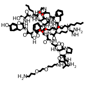 CCCCCCCCCCCCCCCC(=O)N[C@@H](CO)C(=O)N[C@@H](Cc1ccc(O)cc1)C(=O)N[C@@H](CO)C(=O)N[C@@H](CCCC)C(=O)N[C@@H](CCC(=O)O)C(=O)N[C@@H](Cc1c[nH]cn1)C(=O)N[C@H](Cc1ccccc1)C(=O)N[C@@H](CCCNC(=N)N)C(=O)N[C@@H](Cc1c[nH]c2ccccc12)C(=O)NCC(=O)N[C@@H](CCCCN)C(=O)N1CCC[C@@H]1C(=O)N[C@H](C(=O)NCCCOCCOCCCN)C(C)C